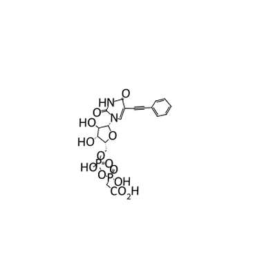 O=C(O)CP(=O)(O)OP(=O)(O)OC[C@H]1O[C@@H](n2cc(C#Cc3ccccc3)c(=O)[nH]c2=O)C(O)[C@H]1O